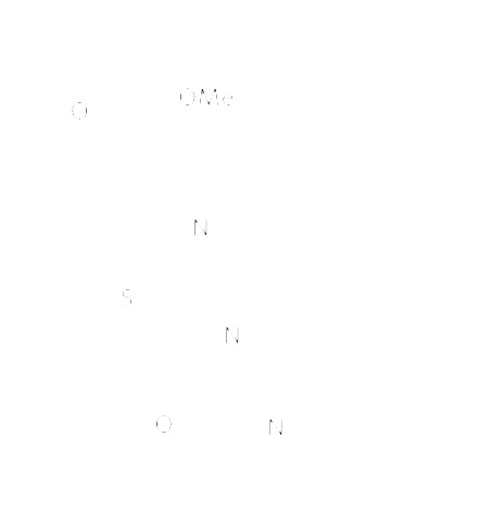 COC(=O)c1csc(N2C(=O)[N]c3ccccc32)n1